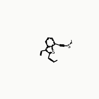 C=Cc1c(/C=C\C)sc2c(C#CSI)cccc12